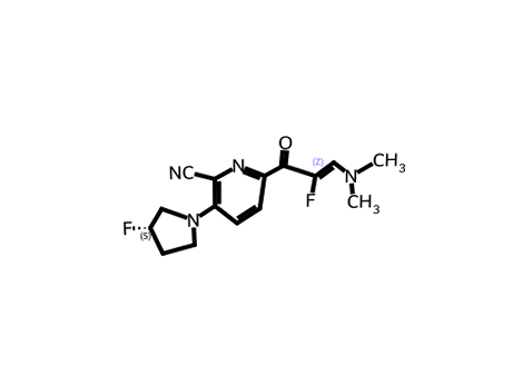 CN(C)/C=C(\F)C(=O)c1ccc(N2CC[C@H](F)C2)c(C#N)n1